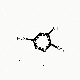 Cc1ncc(N)cc1C#N